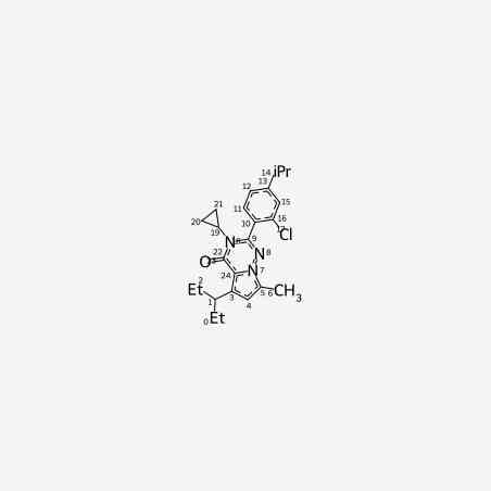 CCC(CC)c1cc(C)n2nc(-c3ccc(C(C)C)cc3Cl)n(C3CC3)c(=O)c12